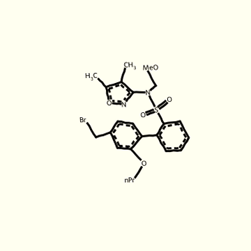 CCCOc1cc(CBr)ccc1-c1ccccc1S(=O)(=O)N(COC)c1noc(C)c1C